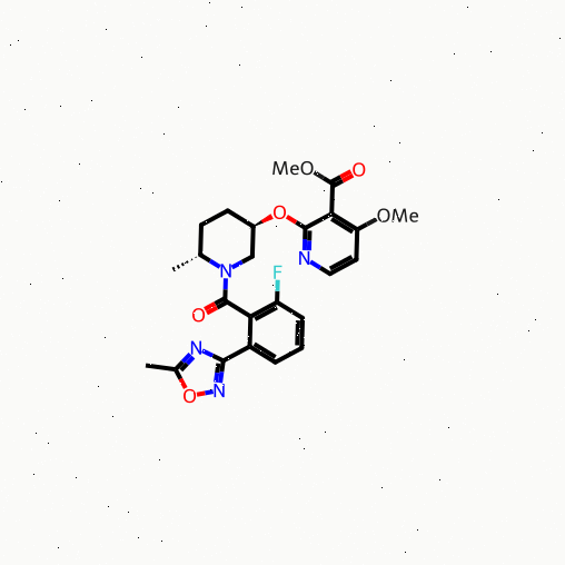 COC(=O)c1c(OC)ccnc1O[C@@H]1CC[C@@H](C)N(C(=O)c2c(F)cccc2-c2noc(C)n2)C1